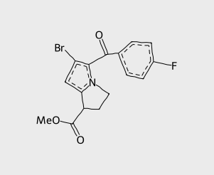 COC(=O)C1CCn2c1cc(Br)c2C(=O)c1ccc(F)cc1